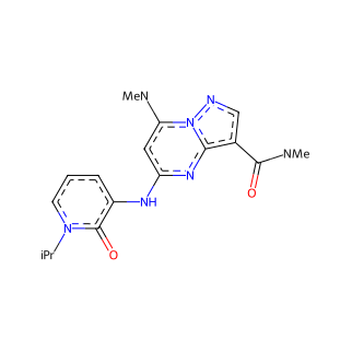 CNC(=O)c1cnn2c(NC)cc(Nc3cccn(C(C)C)c3=O)nc12